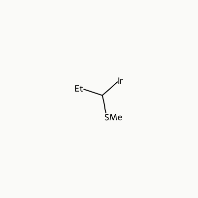 CC[CH]([Ir])SC